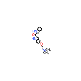 CN(C)CCCOc1ccc2[nH]c(C(=O)c3cc4ccccc4[nH]3)cc2c1